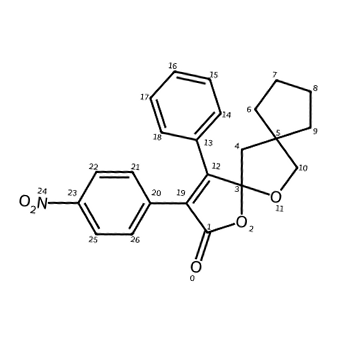 O=C1OC2(CC3(CCCC3)CO2)C(c2ccccc2)=C1c1ccc([N+](=O)[O-])cc1